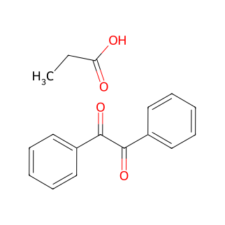 CCC(=O)O.O=C(C(=O)c1ccccc1)c1ccccc1